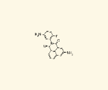 Nc1ccc(F)c(N2C(=O)c3cccc4cc(N)cc(c34)C2=O)c1